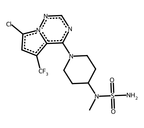 CN(C1CCN(c2ncnn3c(Cl)cc(C(F)(F)F)c23)CC1)S(N)(=O)=O